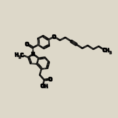 CCCCCC#CCCOc1ccc(C(=O)n2c(C)cc3c(CC(=O)O)cccc32)cc1